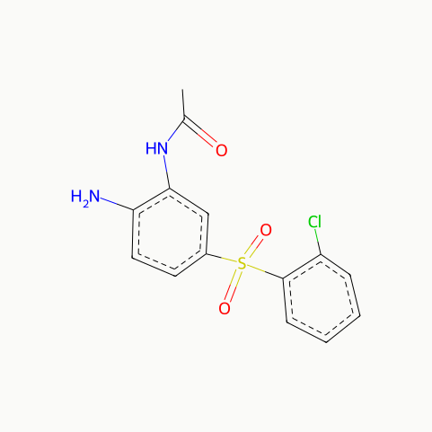 CC(=O)Nc1cc(S(=O)(=O)c2ccccc2Cl)ccc1N